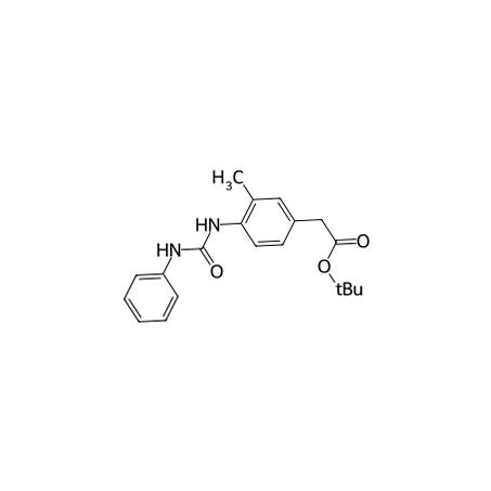 Cc1cc(CC(=O)OC(C)(C)C)ccc1NC(=O)Nc1ccccc1